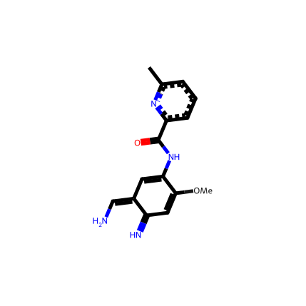 COC1=CC(=N)/C(=C\N)C=C1NC(=O)c1cccc(C)n1